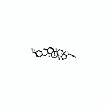 COc1ccc(CN2C(=O)C=C[C@]3(C)[C@H]4CC[C@]5(C)[C@@H](CC#N)CC[C@H]5[C@@H]4CC[C@@H]23)cc1